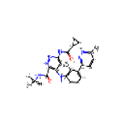 [2H]C([2H])([2H])NC(=O)c1nnc(NC(=O)C2CC2)cc1Nc1cccc(-c2ccc(C(C)=O)nn2)c1OC